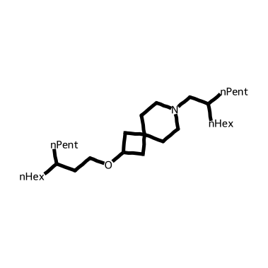 CCCCCCC(CCCCC)CCOC1CC2(CCN(CC(CCCCC)CCCCCC)CC2)C1